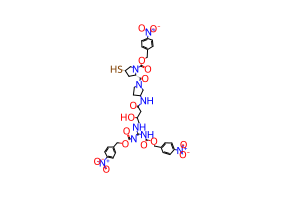 O=C(CC(O)CN/C(=N\C(=O)OCc1ccc([N+](=O)[O-])cc1)NC(=O)OCc1ccc([N+](=O)[O-])cc1)N[C@H]1CCN(C(=O)[C@@H]2C[C@H](S)CN2C(=O)OCc2ccc([N+](=O)[O-])cc2)C1